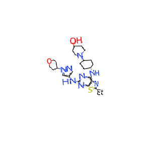 CCc1nc2c(N[C@H]3CC[C@H](N4CCC(O)CC4)CC3)nc(Nc3cnn(C4CCOCC4)c3)nc2s1